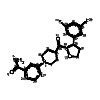 NC(=O)c1cc(N2CCC(C(=O)N3OCC[C@@H]3c3cc(F)cc(F)c3)CC2)ncn1